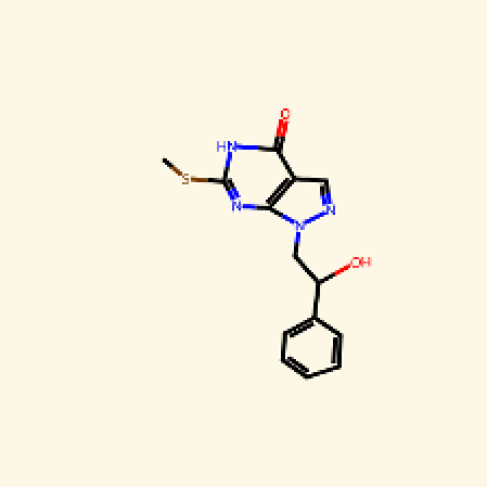 CSc1nc2c(cnn2CC(O)c2ccccc2)c(=O)[nH]1